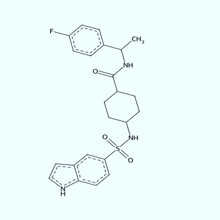 CC(NC(=O)C1CCC(NS(=O)(=O)c2ccc3[nH]ccc3c2)CC1)c1ccc(F)cc1